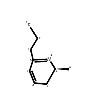 C[C@H]1CC=CC(CCF)=N1